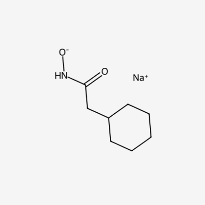 O=C(CC1CCCCC1)N[O-].[Na+]